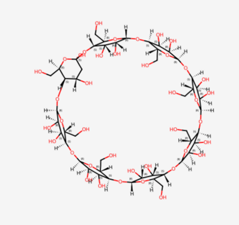 OC[C@H]1O[C@@H]2O[C@H]3[C@@H](O)[C@@H](O)[C@@H](O[C@H]4[C@@H](O)[C@@H](O)[C@@H](O[C@H]5[C@@H](O)[C@@H](O)[C@@H](O[C@H]6[C@@H](O)C[C@@](O)(O[C@H]7[C@@H](O)[C@@H](O)[C@@H](O[C@H]8[C@@H](O)[C@@H](O)[C@@H](O[C@H]9[C@@H](O)[C@@H](O)[C@@H](O[C@H]1[C@@H](O)[C@H]2O)O[C@@H]9CO)O[C@@H]8CO)O[C@@H]7CO)O[C@@H]6CO)O[C@@H]5CO)O[C@@H]4CO)O[C@@H]3CO